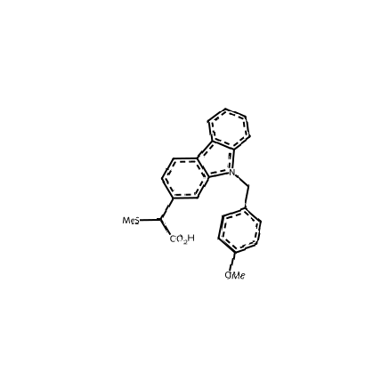 COc1ccc(Cn2c3ccccc3c3ccc(C(SC)C(=O)O)cc32)cc1